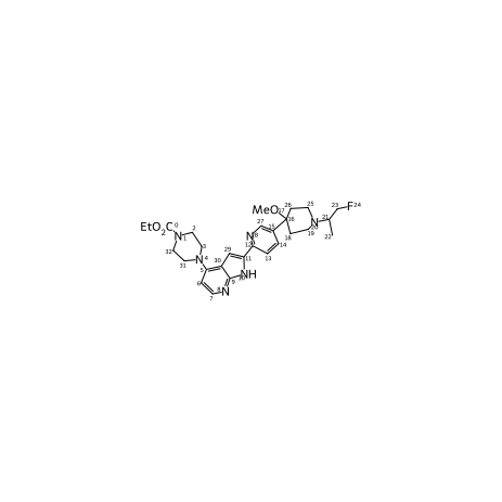 CCOC(=O)N1CCN(c2ccnc3[nH]c(-c4ccc(C5(OC)CCN(C(C)CF)CC5)cn4)cc23)CC1